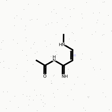 CN/C=C\C(=N)NC(C)=O